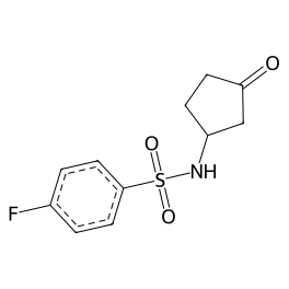 O=C1CCC(NS(=O)(=O)c2ccc(F)cc2)C1